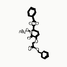 CCCCOn1c(C2OC(c3ccccc3)O2)ccc(OCC(=O)OCc2ccccc2)c1=O